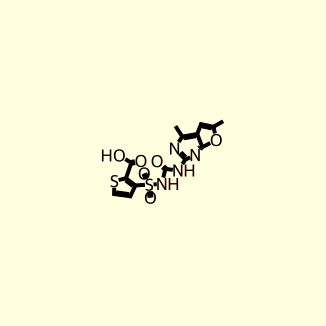 Cc1cc2c(C)nc(NC(=O)NS(=O)(=O)c3ccsc3C(=O)O)nc2o1